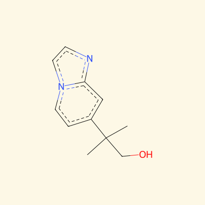 CC(C)(CO)c1ccn2ccnc2c1